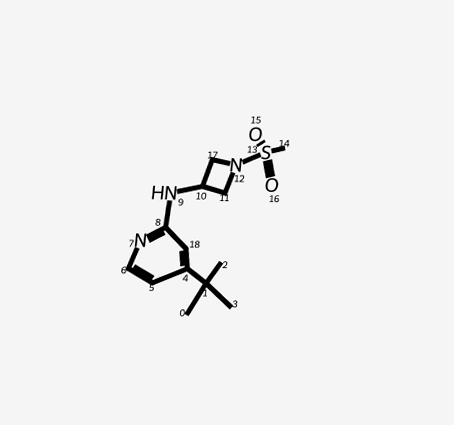 CC(C)(C)c1ccnc(NC2CN(S(C)(=O)=O)C2)c1